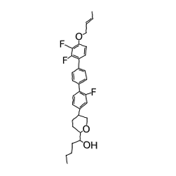 C/C=C/COc1ccc(-c2ccc(-c3ccc(C4CCC(C(O)CCCC)OC4)cc3F)cc2)c(F)c1F